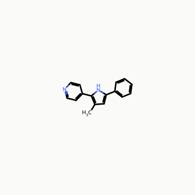 Cc1cc(-c2ccccc2)[nH]c1-c1ccncc1